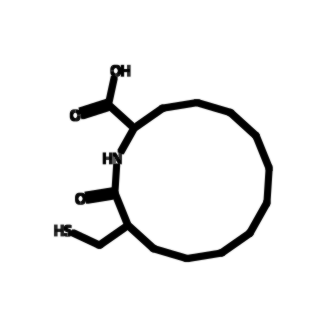 O=C1NC(C(=O)O)CCCCCCCCCCC1CS